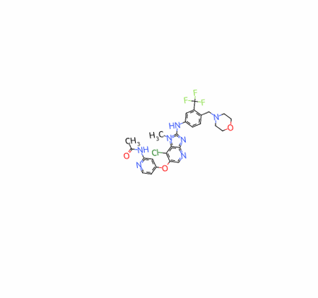 CC(=O)Nc1cc(Oc2cnc3nc(Nc4ccc(CN5CCOCC5)c(C(F)(F)F)c4)n(C)c3c2Cl)ccn1